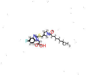 CCCCCCCC(=O)N1CCC(CSc2nc3cc(F)ccc3n2CC(=O)O)C1